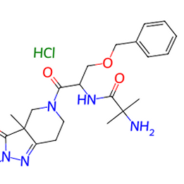 CN1N=C2CCN(C(=O)C(COCc3ccccc3)NC(=O)C(C)(C)N)CC2(C)C1=O.Cl